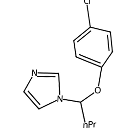 CCCC(Oc1ccc(Cl)cc1)n1ccnc1